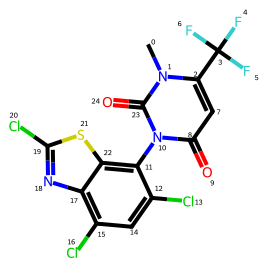 Cn1c(C(F)(F)F)cc(=O)n(-c2c(Cl)cc(Cl)c3nc(Cl)sc23)c1=O